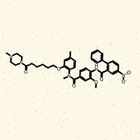 COc1cc(C(=O)N(C)c2ccc(C)cc2OCCCCCC(=O)N2CCN(C)CC2)ccc1NC(=O)c1cc([N+](=O)[O-])ccc1-c1ccccc1